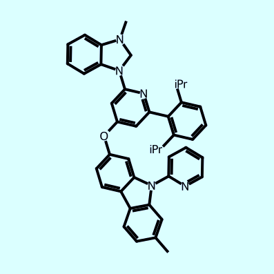 Cc1ccc2c3ccc(Oc4cc(-c5c(C(C)C)cccc5C(C)C)nc(N5CN(C)c6ccccc65)c4)cc3n(-c3ccccn3)c2c1